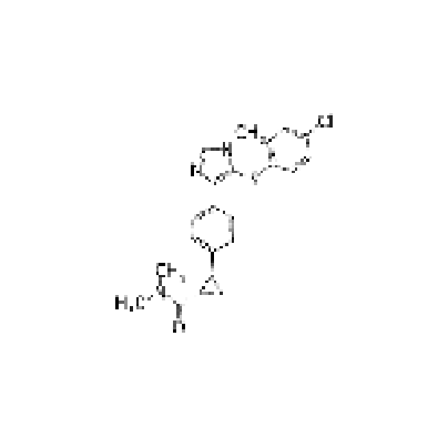 CN(C)C(=O)[C@H]1C[C@@H]1c1ccc(-c2ncn(C)c2Sc2ccc(Cl)cc2)cc1